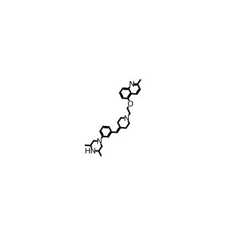 Cc1ccc2c(OCCN3CCC(=Cc4cccc(N5CC(C)NC(C)C5)c4)CC3)cccc2n1